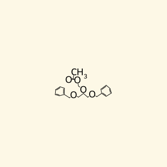 CC(=O)OCOC(COCc1ccccc1)COCc1ccccc1